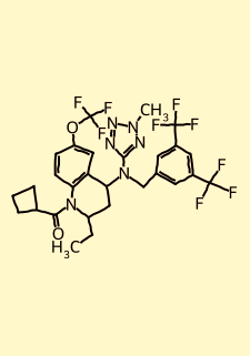 CCC1CC(N(Cc2cc(C(F)(F)F)cc(C(F)(F)F)c2)c2nnn(C)n2)c2cc(OC(F)(F)F)ccc2N1C(=O)C1CCC1